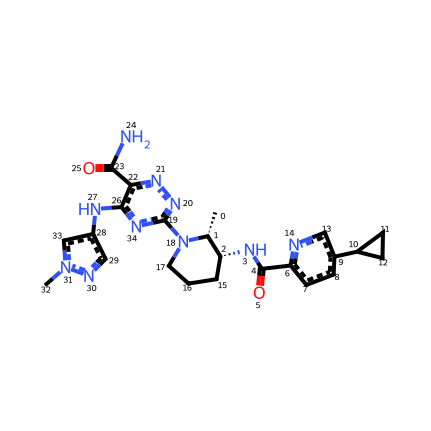 C[C@@H]1[C@H](NC(=O)c2ccc(C3CC3)cn2)CCCN1c1nnc(C(N)=O)c(Nc2cnn(C)c2)n1